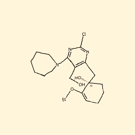 CCOC1=CCCC[C@]1(O)Cc1nc(Cl)nc(N2CCCCCC2)c1CO